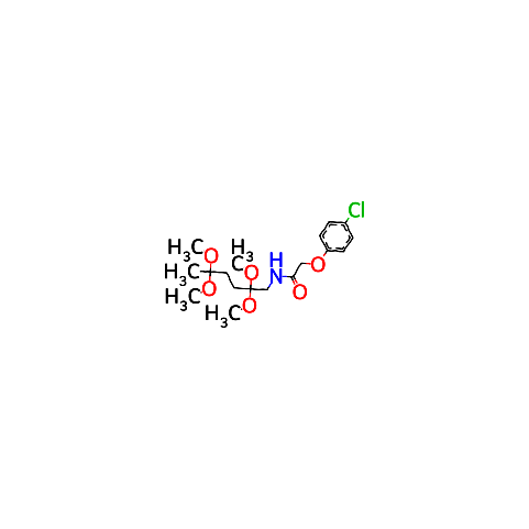 COC(C)(CCC(CNC(=O)COc1ccc(Cl)cc1)(OC)OC)OC